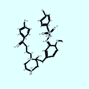 COC1C=CC(CC2(F)CNCCN2CCCC(=O)c2ccc(F)cc2)=CC1=NNS(=O)(=O)c1ccc(C)cc1